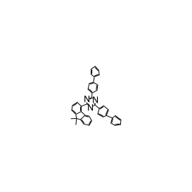 CC1(C)c2ccccc2-c2c(-c3nc(-c4ccc(-c5ccccc5)cc4)nc(-c4ccc(-c5ccccc5)cc4)n3)cccc21